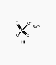 I.O=S(=O)([O-])[O-].[Ba+2]